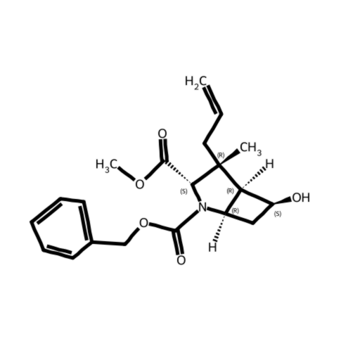 C=CC[C@]1(C)[C@@H]2[C@@H](C[C@@H]2O)N(C(=O)OCc2ccccc2)[C@@H]1C(=O)OC